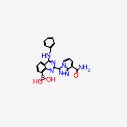 NC(=O)c1cccn2c(-c3nc(NCc4ccccc4)c4cccc(B(O)O)c4n3)nnc12